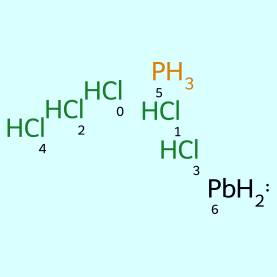 Cl.Cl.Cl.Cl.Cl.P.[PbH2]